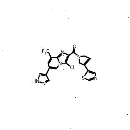 O=C(c1nc2c(C(F)(F)F)cc(-c3cn[nH]c3)cn2c1Cl)N1CC=C(c2cncs2)C1